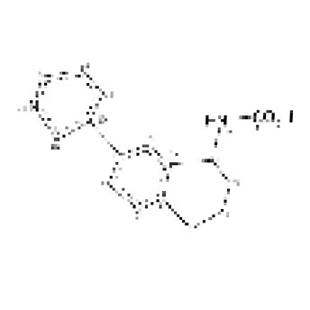 O=C(O)NC1CCCc2ccc(-c3cccnc3)cc21